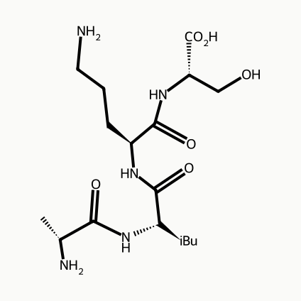 CC[C@H](C)[C@H](NC(=O)[C@@H](C)N)C(=O)N[C@@H](CCCN)C(=O)N[C@@H](CO)C(=O)O